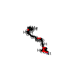 CC/N=c1/cc2oc3cc(NCC)c(C)cc3c(-c3ccccc3C(=O)N(C)CCCC(=O)NCCNC(=O)c3cccc(OCC(OCCOCC(=O)NCC#Cc4cn([C@H]5CC(O[C@@H](C)SSC)[C@@H](COP(=O)(O)O)O5)c(=O)[nH]c4=O)SSC(C)(C)C)c3)c-2cc1C